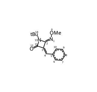 CON=C1C(=Cc2ccccc2)C(=O)N1C(C)(C)C